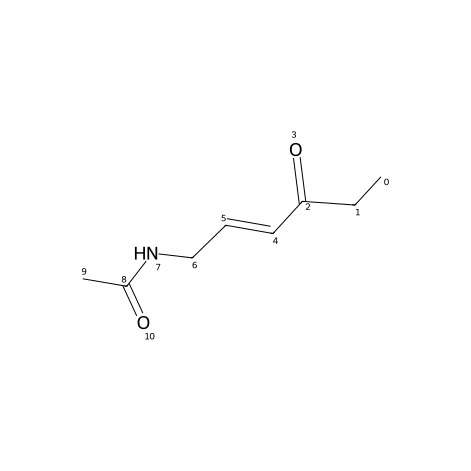 CCC(=O)/C=C/CNC(C)=O